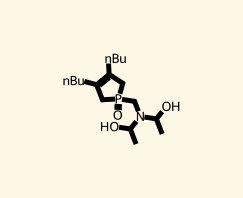 CCCCC1=C(CCCC)CP(=O)(CN(C(C)O)C(C)O)C1